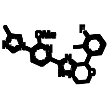 COc1nc(-c2nc3n(n2)CCOC3c2cccc(F)c2C)ccc1-n1cnc(C)c1